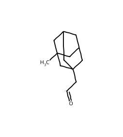 CC12CC3CC(C1)CC(C[C]=O)(C3)C2